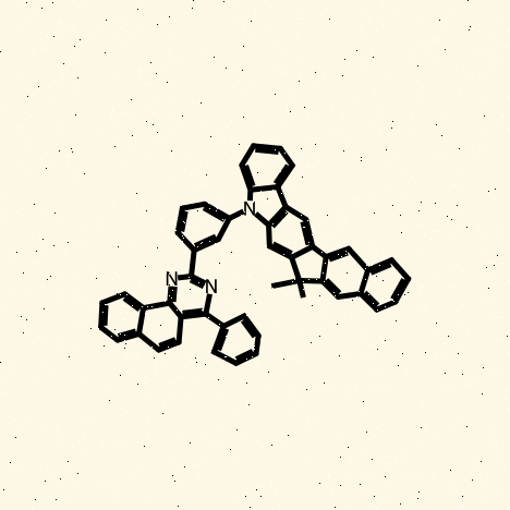 CC1(C)c2cc3ccccc3cc2-c2cc3c4ccccc4n(-c4cccc(-c5nc(-c6ccccc6)c6ccc7ccccc7c6n5)c4)c3cc21